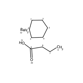 C1CCCCC1.CCCC(=O)O.[BaH2]